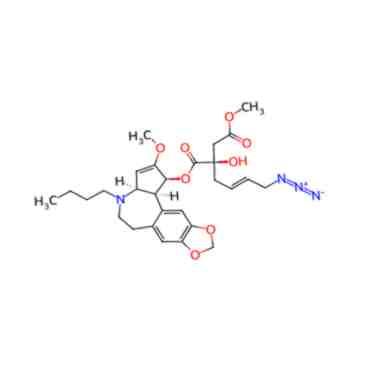 CCCCN1CCc2cc3c(cc2[C@@H]2[C@H](OC(=O)[C@@](O)(C/C=C/CN=[N+]=[N-])CC(=O)OC)C(OC)=C[C@@H]21)OCO3